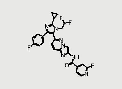 O=C(Nc1cn2nc(-c3c(-c4ccc(F)cc4)nc(C4CC4)n3CC(F)F)ccc2n1)c1ccnc(F)c1